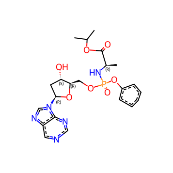 CC(C)OC(=O)[C@@H](C)NP(=O)(OC[C@H]1O[C@@H](n2cnc3cncnc32)C[C@@H]1O)Oc1ccccc1